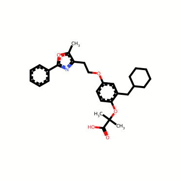 Cc1oc(-c2ccccc2)nc1CCOc1ccc(OC(C)(C)C(=O)O)c(CC2CCCCC2)c1